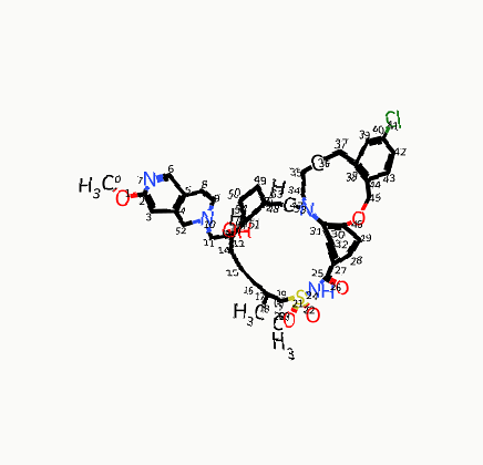 COc1cc2c(cn1)CCN(C[C@@]1(O)CCCC(C)[C@@H](C)S(=O)(=O)NC(=O)c3ccc4c(c3)N(CCCCc3cc(Cl)ccc3CO4)C[C@@H]3CC[C@H]31)C2